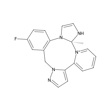 C[C@@]12NC=CN1c1ccc(F)cc1Cn1nccc1-c1cccc[n+]12